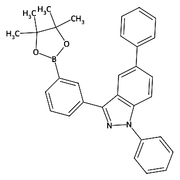 CC1(C)OB(c2cccc(-c3nn(-c4ccccc4)c4ccc(-c5ccccc5)cc34)c2)OC1(C)C